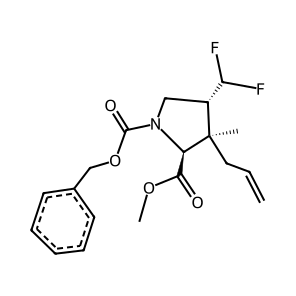 C=CC[C@]1(C)[C@@H](C(F)F)CN(C(=O)OCc2ccccc2)[C@@H]1C(=O)OC